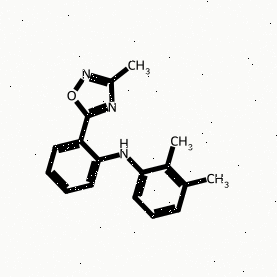 Cc1noc(-c2ccccc2Nc2cccc(C)c2C)n1